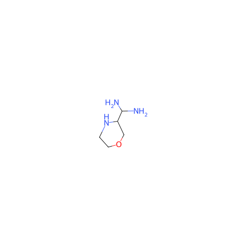 NC(N)C1COCCN1